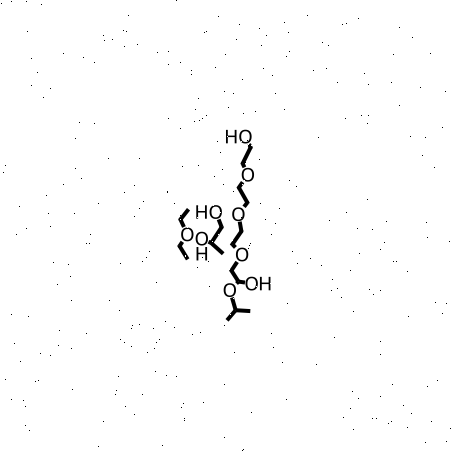 CC(C)OC(O)COCCOCCOCCO.CC(O)CO.CCOCC